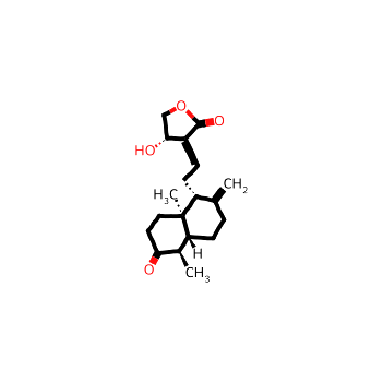 C=C1CC[C@@H]2[C@@H](C)C(=O)CC[C@@]2(C)[C@@H]1C/C=C1/C(=O)OC[C@H]1O